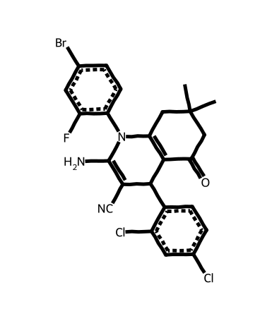 CC1(C)CC(=O)C2=C(C1)N(c1ccc(Br)cc1F)C(N)=C(C#N)C2c1ccc(Cl)cc1Cl